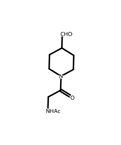 CC(=O)NCC(=O)N1CCC([C]=O)CC1